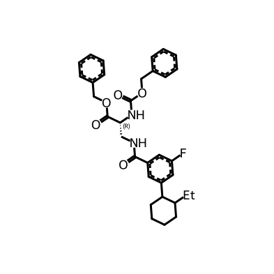 CCC1CCCCC1c1cc(F)cc(C(=O)NC[C@@H](NC(=O)OCc2ccccc2)C(=O)OCc2ccccc2)c1